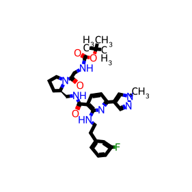 Cn1cc(-c2ccc(C(=O)NC[C@H]3CCCN3C(=O)CNC(=O)OC(C)(C)C)c(NCCc3cccc(F)c3)n2)cn1